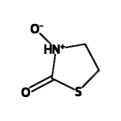 O=C1SCC[NH+]1[O-]